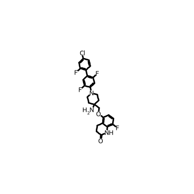 NC1(COc2ccc(F)c3c2CCC(=O)N3)CCN(c2cc(F)c(-c3ccc(Cl)cc3F)cc2F)CC1